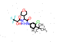 CC(C)(C)c1ccc(NC(=O)C(NC(=O)C(O)C(F)(F)F)C2CCOCC2)cc1Cl